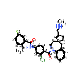 CNCC1=CC2(CC1)CCN(C(=O)c1ccc(NC(=O)c3cc(F)ccc3C)cc1Cl)c1ccccc1C2